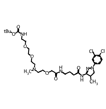 CC1CN(c2ccc(Cl)c(Cl)c2)N=C1NC(=O)CCCNC(=O)COCCN(C)CCOCCOCCNC(=O)OC(C)(C)C